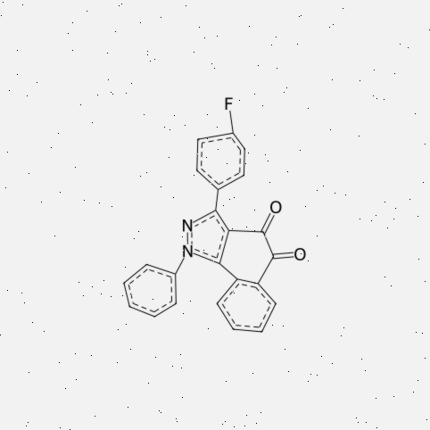 O=C1C(=O)c2c(-c3ccc(F)cc3)nn(-c3ccccc3)c2-c2ccccc21